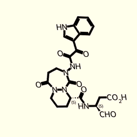 O=C[C@H](CC(=O)O)NC(=O)[C@@H]1CCCN2C(=O)CCN(NC(=O)C(=O)c3c[nH]c4ccccc34)C(=O)N12